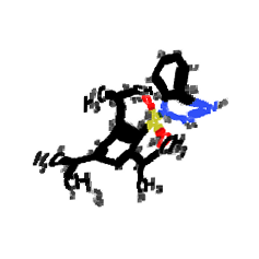 CC(C)c1cc(C(C)C)c(S(=O)(=O)n2nnc3ccccc32)c(C(C)C)c1